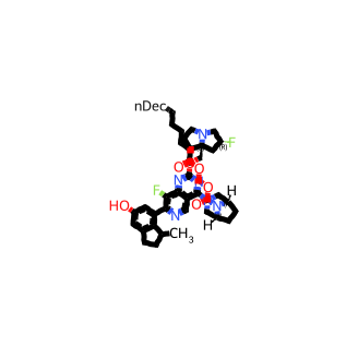 CCCCCCCCCCCCCCCC(=O)OCOC(=O)N1[C@@H]2CC[C@H]1CN(c1nc(OC[C@@]34CCCN3C[C@H](F)C4)nc3c(F)c(-c4cc(O)cc5c4C(C)CC5)ncc13)C2